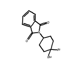 CC(C)C1(C(C)(C)C)CCC(N2C(=O)c3ccccc3C2=O)CC1